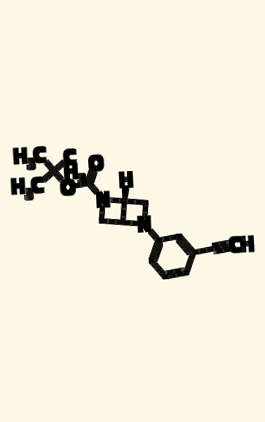 C#Cc1cccc(N2C[C@@H]3C2CN3C(=O)OC(C)(C)C)c1